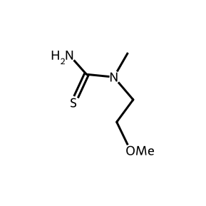 COCCN(C)C(N)=S